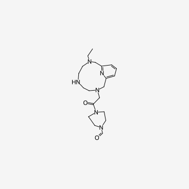 CCN1CCNCCN(CC(=O)N2CCN(C=O)CC2)Cc2cccc(n2)C1